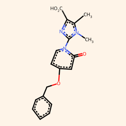 Cc1c(C(=O)O)nc(-n2ccc(OCc3ccccc3)cc2=O)n1C